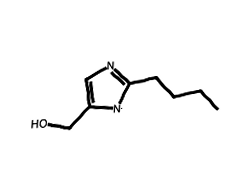 CCCCC1=NC=C(CO)[N]1